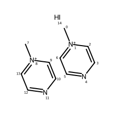 C[n+]1ccncc1.C[n+]1ccncc1.I